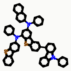 c1ccc(N(c2ccc3ccccc3c2)c2cc(N(c3ccccc3)c3ccc4c(c3)sc3ccccc34)c3sc4ccc(-c5cccc6c5c5ccccc5n6-c5ccccc5)cc4c3c2)cc1